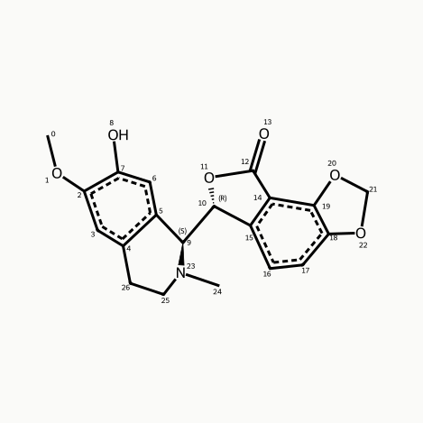 COc1cc2c(cc1O)[C@@H]([C@@H]1OC(=O)c3c1ccc1c3OCO1)N(C)CC2